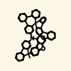 CC1(C)c2ccccc2-c2ccc(N(c3ccc4c(c3)C3(c5ccccc5-c5ccccc5-4)c4ccccc4-c4c3ccc3c4-c4ccccc4C3)c3cccc4oc5ccccc5c34)cc21